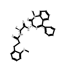 COc1ccccc1CCC(=O)N[C@@H](C)C(=O)N[C@H]1N=C(c2ccccc2)c2ccccc2N(C)C1=O